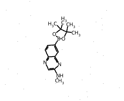 CNc1cnc2ccc(B3OC(C)(C)C(C)(C)O3)cc2n1